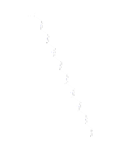 [CH]=C/C=C/C=C/C=C/C=C/C=C/C=C/C=C/C=C/CCCCCCCC